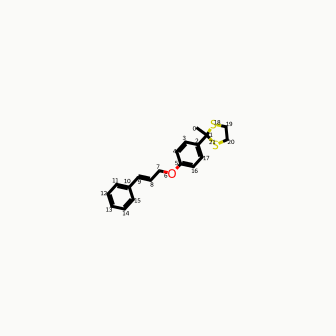 CC1(c2ccc(OCC=Cc3ccccc3)cc2)SCCS1